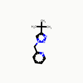 CC(C)(C)c1cn(Cc2ccccn2)nn1